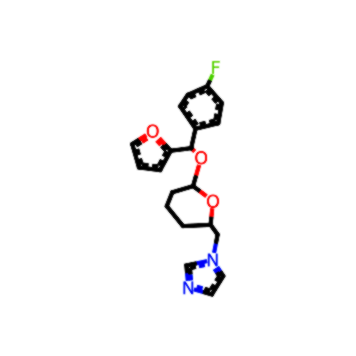 Fc1ccc(C(OC2CCCC(Cn3ccnc3)O2)c2ccco2)cc1